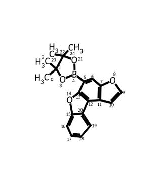 CC1(C)OB(c2cc3occc3c3c2oc2ccccc23)OC1(C)C